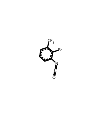 O=C=Nc1cccc(C(F)(F)F)c1Br